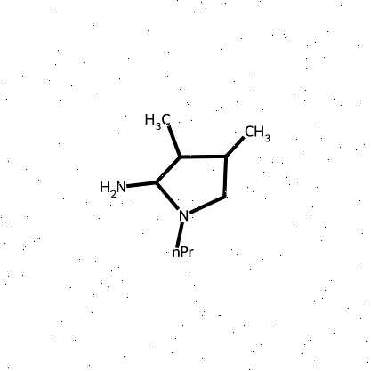 CCCN1CC(C)C(C)C1N